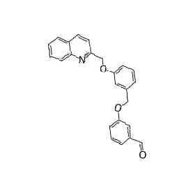 O=Cc1cccc(OCc2cccc(OCc3ccc4ccccc4n3)c2)c1